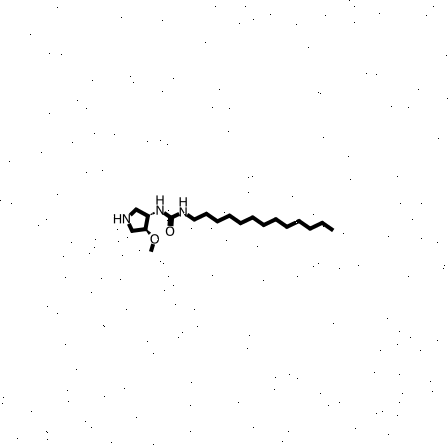 CCCCCCCCCCCCCNC(=O)N[C@H]1CNC[C@@H]1OC